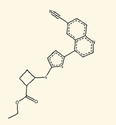 CCOC(=O)C1CCC1Sc1ccc(-c2ccnc3ccc(C#N)cc23)s1